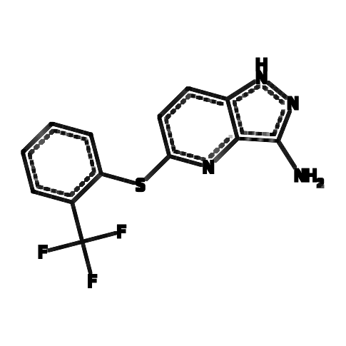 Nc1n[nH]c2ccc(Sc3ccccc3C(F)(F)F)nc12